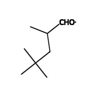 CC([C]=O)CC(C)(C)C